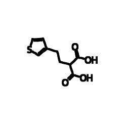 O=C(O)C(CCc1ccsc1)C(=O)O